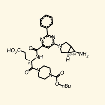 CCCCOC(=O)N1CCN(C(=O)[C@H](CCC(=O)O)NC(=O)c2cc(N3CC4[C@@H](N)[C@@H]4C3)nc(-c3ccccc3)n2)CC1